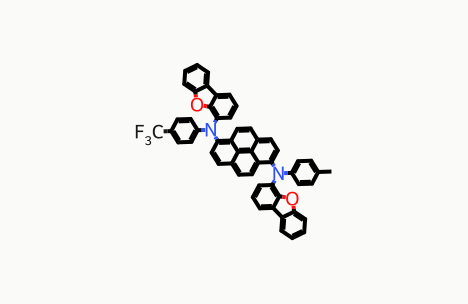 Cc1ccc(N(c2ccc3ccc4c(N(c5ccc(C(F)(F)F)cc5)c5cccc6c5oc5ccccc56)ccc5ccc2c3c54)c2cccc3c2oc2ccccc23)cc1